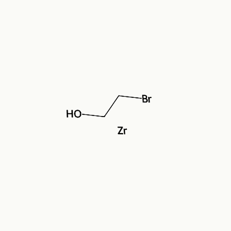 OCCBr.[Zr]